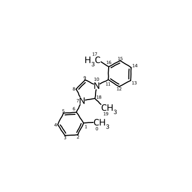 Cc1ccccc1N1C=CN(c2ccccc2C)C1C